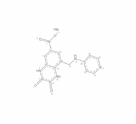 Br.O=c1[nH]c2cc([N+](=O)[O-])cc(CNc3ccncc3)c2[nH]c1=O